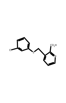 O=C(O)c1ncccc1CSc1cccc(Cl)c1